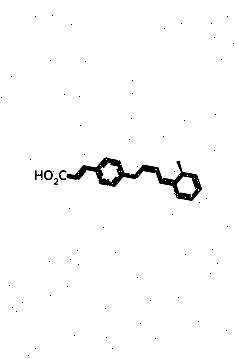 C[C@H]1C=CC=C/C1=C/C=C\Cc1ccc(/C=C/C(=O)O)cc1